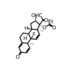 CCC(=O)O[C@@]1(C(=O)C=O)[C@H](C)C[C@H]2[C@@H]3CCC4=CC(=O)C=C[C@]4(C)[C@@]3(F)C=C[C@@]21C